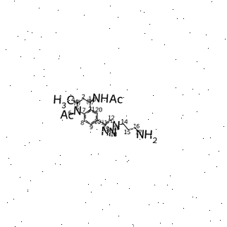 CC(=O)N[C@@H]1C[C@H](C)N(C(C)=O)c2ccc(-c3cn(CCCN)nn3)cc21